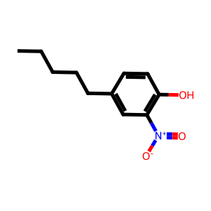 CCCCCc1ccc(O)c([N+](=O)[O-])c1